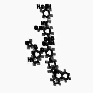 CC(C)c1ccccc1[C@H]1CCC[C@H]1N1CC2(CCN(c3ccc(C(=O)NS(=O)(=O)c4ccc(NC[C@H]5CC[C@](C)(O)CC5)c([N+](=O)[O-])c4)c(Oc4cc5cc[nH]c5nc4OC4COC4)c3)CC2)C1